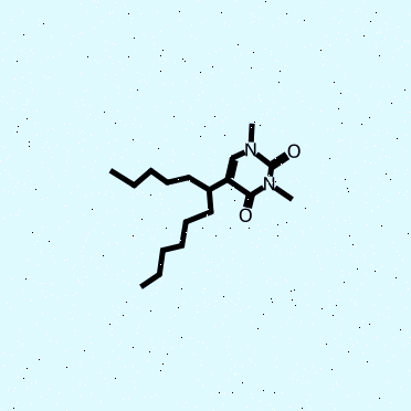 CCCCCCC(CCCCC)c1cn(C)c(=O)n(C)c1=O